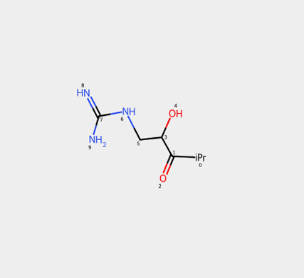 CC(C)C(=O)C(O)CNC(=N)N